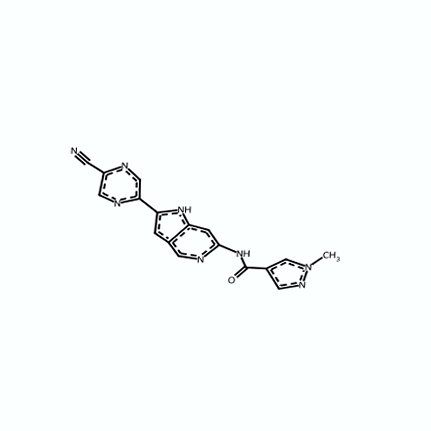 Cn1cc(C(=O)Nc2cc3[nH]c(-c4cnc(C#N)cn4)cc3cn2)cn1